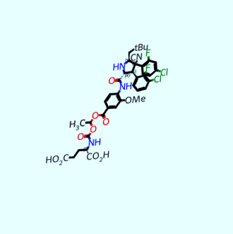 COc1cc(C(=O)OC(C)OC(=O)N[C@@H](CCC(=O)O)C(=O)O)ccc1NC(=O)[C@@H]1N[C@@H](CC(C)(C)C)[C@](C#N)(c2ccc(Cl)cc2F)[C@H]1c1cccc(Cl)c1F